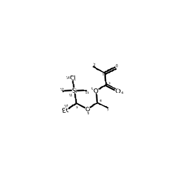 C=C(C)C(=O)OC(C)OC(CC)[Si](C)(C)Cl